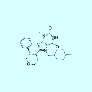 CC1CCC(Cn2c(N3CCOC[C@H]3c3ccccc3)nc3c2c(=O)[nH]c(=O)n3C)CC1